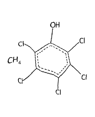 C.Oc1c(Cl)c(Cl)c(Cl)c(Cl)c1Cl